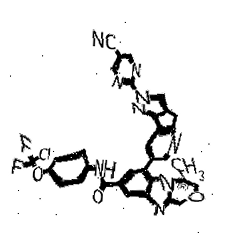 C[C@@H]1COCc2nc3cc(C(=O)Nc4ccc(OC(F)(F)Cl)cc4)cc(-c4cnc5c(c4)-c4nn(-c6ncc(C#N)cn6)cc4C5)c3n21